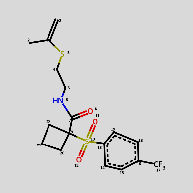 C=C(C)SCCNC(=O)C1(S(=O)(=O)c2ccc(C(F)(F)F)cc2)CCC1